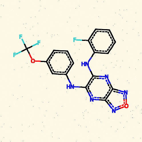 Fc1ccccc1Nc1nc2nonc2nc1Nc1cccc(OC(F)(F)F)c1